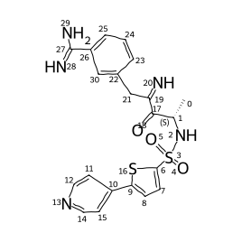 C[C@H](NS(=O)(=O)c1ccc(-c2ccncc2)s1)C(=O)C(=N)Cc1cccc(C(=N)N)c1